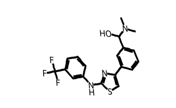 CN(C)C(O)c1cccc(-c2csc(Nc3cccc(C(F)(F)F)c3)n2)c1